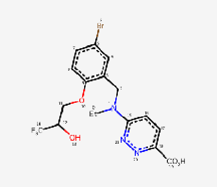 CCN(Cc1cc(Br)ccc1OCC(O)C(F)(F)F)c1ccc(C(=O)O)nn1